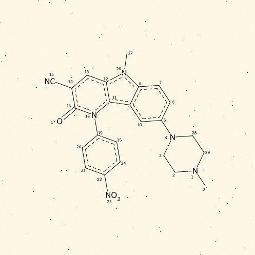 CN1CCN(c2ccc3c(c2)c2c(cc(C#N)c(=O)n2-c2ccc([N+](=O)[O-])cc2)n3C)CC1